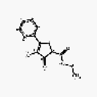 CCOC(=O)C1CC(c2ccccn2)=C(C)C1=O